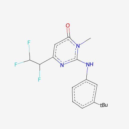 Cn1c(Nc2cccc(C(C)(C)C)c2)nc(C(F)C(F)F)cc1=O